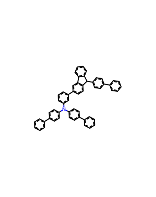 c1ccc(-c2ccc(C3c4ccccc4-c4cc(-c5cccc(N(c6ccc(-c7ccccc7)cc6)c6ccc(-c7ccccc7)cc6)c5)ccc43)cc2)cc1